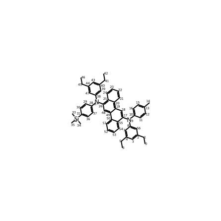 CCc1cc(CC)cc(N(c2ccc(C)cc2)c2cc3c4ccccc4c(N(c4ccc([Si](C)(C)C)cc4)c4cc(CC)cc(CC)c4)cc3c3ccccc23)c1